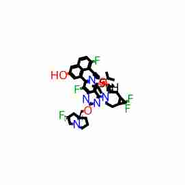 CC(C)[Si](C#Cc1c(F)ccc2cc(O)cc(-c3nc4c5c(nc(OC[C@@]67CCCN6C[C@H](F)C7)nc5c3F)N3CCC5C(C[C@H]3CO4)C5(F)F)c12)(C(C)C)C(C)C